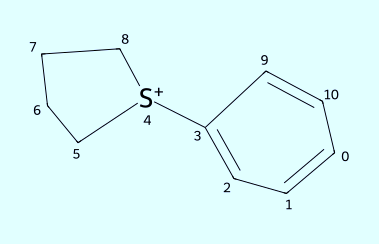 c1ccc([S+]2CCCC2)cc1